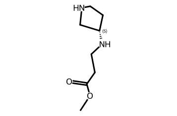 COC(=O)CCN[C@H]1CCNC1